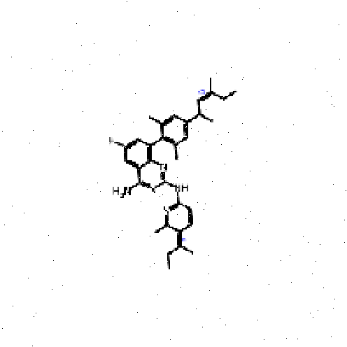 CC/C(C)=C\C(C)c1cc(C)c(-c2cc(F)cc3c(N)nc(NC4=NC(C)/C(=C(/C)CC)C=C4)nc23)c(C)c1